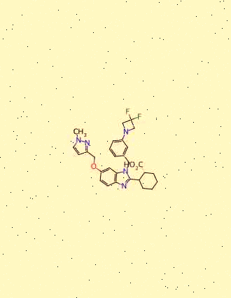 Cn1ccc(COc2ccc3nc(C4CCCC[C@H]4C(=O)O)n(Cc4cccc(N5CC(F)(F)C5)c4)c3c2)n1